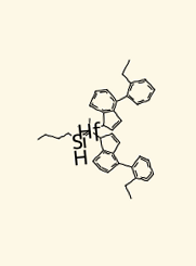 CCCC[SiH]=[Hf]([CH3])([CH3])([CH]1C=Cc2c(-c3ccccc3CC)cccc21)[CH]1C=Cc2c(-c3ccccc3CC)cccc21